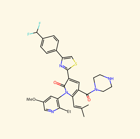 CCc1ncc(OC)cc1-n1c(C=C(C)C)c(C(=O)N2CCNCC2)cc(-c2nc(-c3ccc(C(F)F)cc3)cs2)c1=O